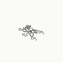 C=Cc1cn2c(CC)nc3c(C(C)Nc4ccc(Cl)nc4C(=O)O)cc(C)cc3c2n1